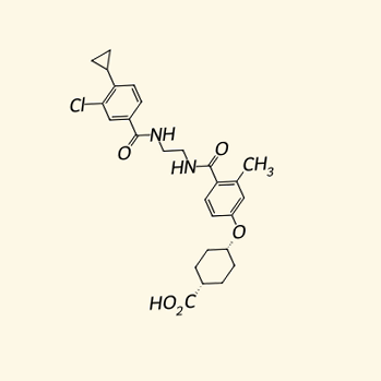 Cc1cc(O[C@H]2CC[C@@H](C(=O)O)CC2)ccc1C(=O)NCCNC(=O)c1ccc(C2CC2)c(Cl)c1